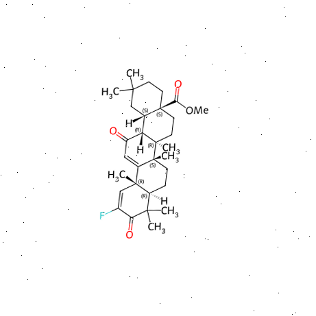 COC(=O)[C@]12CCC(C)(C)C[C@H]1[C@H]1C(=O)C=C3[C@@]4(C)C=C(F)C(=O)C(C)(C)[C@@H]4CC[C@@]3(C)[C@]1(C)CC2